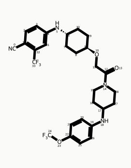 N#Cc1ccc(N[C@H]2CC[C@H](OCC(=O)N3CCC(Nc4ccc(OC(F)(F)F)cc4)CC3)CC2)cc1C(F)(F)F